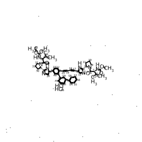 COC(=O)N[C@H](C(=O)N1CCC[C@H]1c1ncc(C#CC#Cc2ccc(-c3cnc([C@@H]4CCCN4C(=O)[C@@H](NC(=O)OC)C(C)C)[nH]3)cc2-c2cccc(-c3ccccc3)c2)[nH]1)C(C)C.Cl.Cl